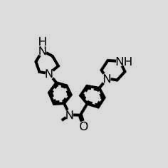 CN(C(=O)c1ccc(N2CCNCC2)cc1)c1ccc(N2CCNCC2)cc1